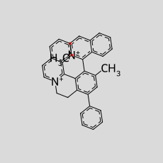 Cc1cc(-c2ccccc2)c2c(c1-c1c3ccccc3cc[n+]1C)-c1c3ccccc3cc[n+]1CC2